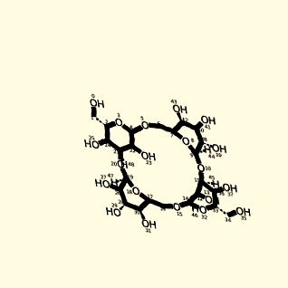 OC[C@@H]1OC2OCC3O[C@H](O[C@@H]4C(O)[C@@H](OCC5O[C@H](O[C@H](C2O)C1O)C(O)[C@@H](O)[C@@H]5O)O[C@@H](CO)C4O)[C@@H](O)C(O)[C@@H]3O